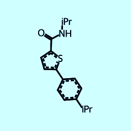 CC(C)NC(=O)c1ccc(-c2ccc(C(C)C)cc2)s1